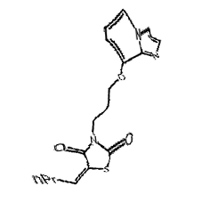 CCCC=C1SC(=O)N(CCCOc2cccn3ccnc23)C1=O